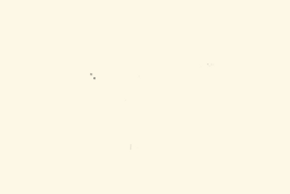 COCCOC(=O)[C@@H](N)c1ccccc1.Cl